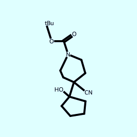 CC(C)(C)OC(=O)N1CCC(C#N)(C2(O)CCCC2)CC1